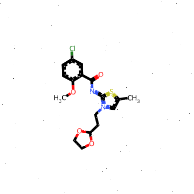 COc1ccc(Cl)cc1C(=O)N=c1sc(C)cn1CCC1OCCO1